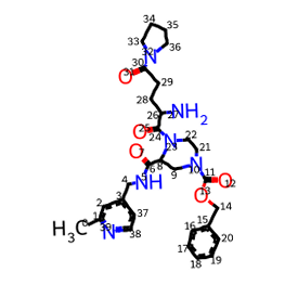 Cc1cc(CNC(=O)C2CN(C(=O)OCc3ccccc3)CCN2C(=O)C(N)CCC(=O)N2CCCC2)ccn1